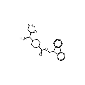 NCC(=O)C(N)C1CCN(C(=O)OCC2c3ccccc3-c3ccccc32)CC1